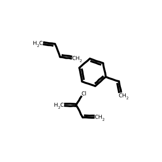 C=CC(=C)Cl.C=CC=C.C=Cc1ccccc1